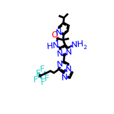 CC(C)c1ccc(C2(C)C(=O)Nc3nc(-c4cn5ccnc5c(CCC(F)(F)C(F)(F)F)n4)nc(N)c32)nc1